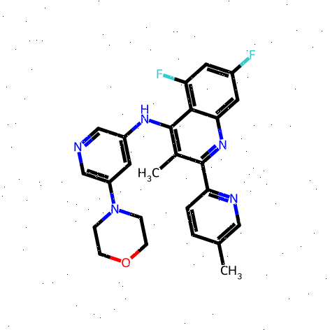 Cc1ccc(-c2nc3cc(F)cc(F)c3c(Nc3cncc(N4CCOCC4)c3)c2C)nc1